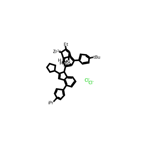 CCC1=C2c3c(cc(C4C(C5CCCC5)=Cc5c(-c6ccc(C(C)C)cc6)cccc54)c(c3-c3ccc(C(C)(C)C)cc3)[Si]2(C)C)[CH]1[Zr+2].[Cl-].[Cl-]